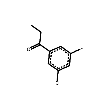 CCC(=O)c1cc(F)cc(Cl)c1